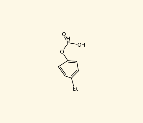 CCc1ccc(O[PH](=O)O)cc1